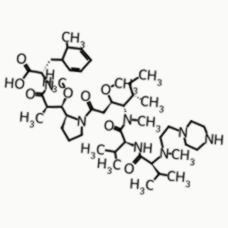 CC[C@H](C)[C@@H]([C@@H](CC(=O)N1CCC[C@H]1[C@H](OC)[C@@H](C)C(=O)N[C@@H](CC1C=CC=CC1C)C(=O)O)OC)N(C)C(=O)[C@@H](NC(=O)[C@H](C(C)C)N(C)CCN1CCNCC1)C(C)C